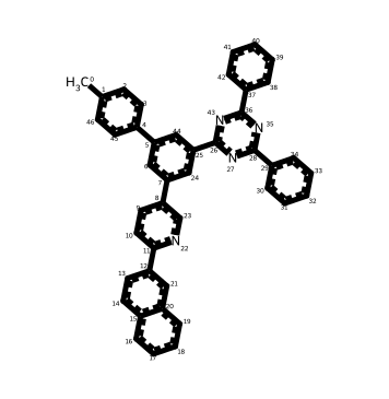 Cc1ccc(-c2cc(-c3ccc(-c4ccc5ccccc5c4)nc3)cc(-c3nc(-c4ccccc4)nc(-c4ccccc4)n3)c2)cc1